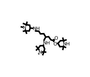 CN1C(C)(C)CC(NCCCCC(CCC(=O)OC2CC(C)(C)NC(C)(C)C2)CNC2CC(C)(C)N(C)C(C)(C)C2)CC1(C)C